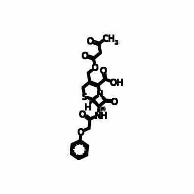 CC(=O)CC(=O)OCC1=C(C(=O)O)N2C(=O)[C@@H](NC(=O)COc3ccccc3)[C@H]2SC1